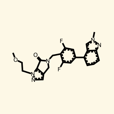 COCCn1ncc2c1C(=O)N(Cc1c(F)cc(-c3cccc4nn(C)cc34)cc1F)C2